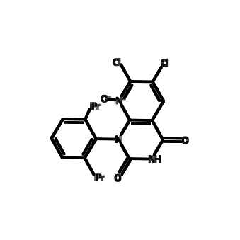 CC(C)c1cccc(C(C)C)c1-n1c(=O)[nH]c(=O)c2cc(Cl)c(Cl)[n+]([O-])c21